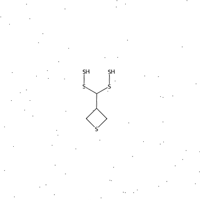 SSC(SS)C1CSC1